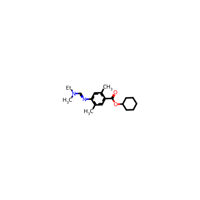 CCN(C)/C=N/c1cc(C)c(C(=O)OC2CCCCC2)cc1C